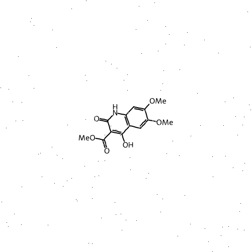 COC(=O)c1c(O)c2cc(OC)c(OC)cc2[nH]c1=O